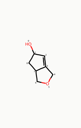 OC1C=C2COCC2C1